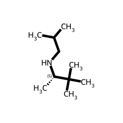 CC(C)CN[C@@H](C)C(C)(C)C